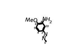 CN=Nc1ccc(OC)c(N)c1